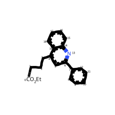 CCOC(=O)CCCc1cc(-c2ccccc2)nc2ccccc12